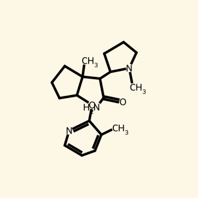 Cc1cccnc1OC1CCCC1(C)C(C(N)=O)C1CCCN1C